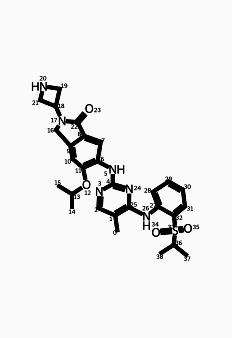 Cc1cnc(Nc2cc3c(cc2OC(C)C)CN(C2CNC2)C3=O)nc1Nc1ccccc1S(=O)(=O)C(C)C